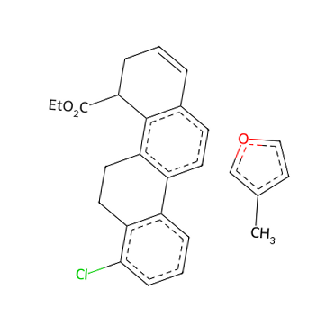 CCOC(=O)C1CC=Cc2ccc3c(c21)CCc1c(Cl)cccc1-3.Cc1ccoc1